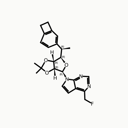 C[C@H](c1ccc2c(c1)CC2)[C@H]1O[C@@H](n2ccc3c(CF)ncnc32)[C@@H]2OC(C)(C)O[C@@H]21